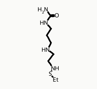 CCSNCCNCCCNC(N)=O